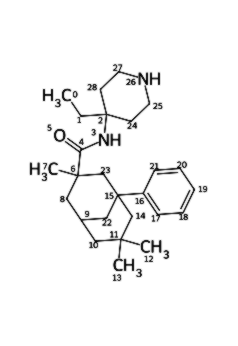 CCC1(NC(=O)C2(C)CC3CC(C)(C)CC(c4ccccc4)(C3)C2)CCNCC1